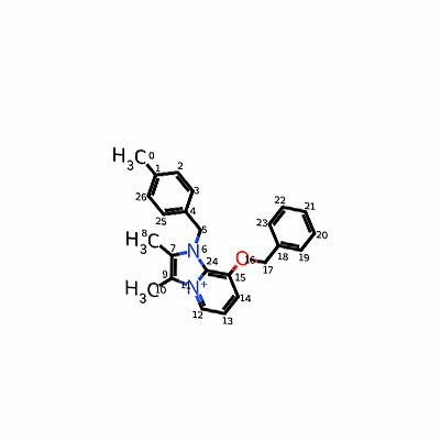 Cc1ccc(Cn2c(C)c(C)[n+]3cccc(OCc4ccccc4)c23)cc1